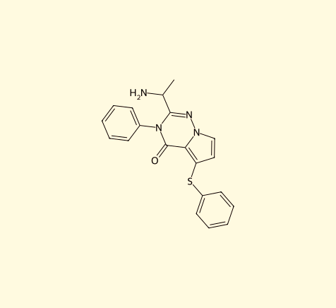 CC(N)c1nn2ccc(Sc3ccccc3)c2c(=O)n1-c1ccccc1